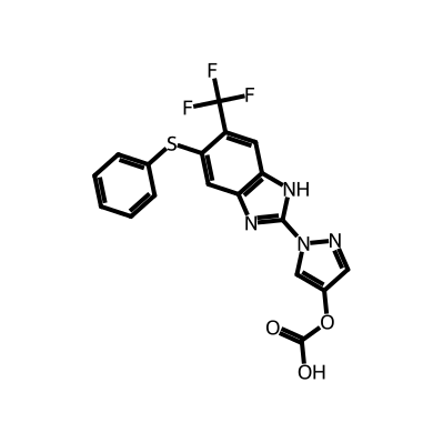 O=C(O)Oc1cnn(-c2nc3cc(Sc4ccccc4)c(C(F)(F)F)cc3[nH]2)c1